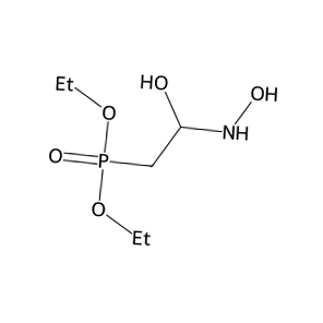 CCOP(=O)(CC(O)NO)OCC